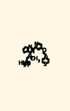 CC(C)NC(=O)CN(C)c1nc(-c2cc(OCCN3CCSCC3)ccn2)nc2c1CCC2